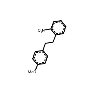 COc1ccc(C[CH]c2ccccc2[N+](=O)[O-])cc1